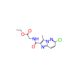 CCOC(=O)CNC(=O)c1nc2ccc(Cl)nn2c1C